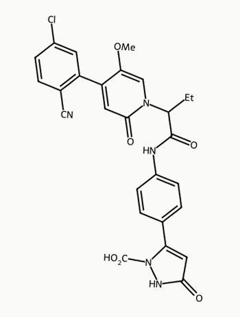 CCC(C(=O)Nc1ccc(-c2cc(=O)[nH]n2C(=O)O)cc1)n1cc(OC)c(-c2cc(Cl)ccc2C#N)cc1=O